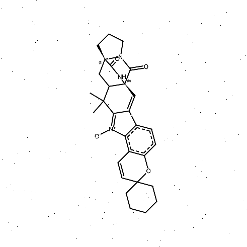 CC1(C)C2=[N+]([O-])c3c(ccc4c3C=CC3(CCCCC3)O4)C2=C[C@@]23NC(=O)[C@]4(CCCN4C2=O)CC13